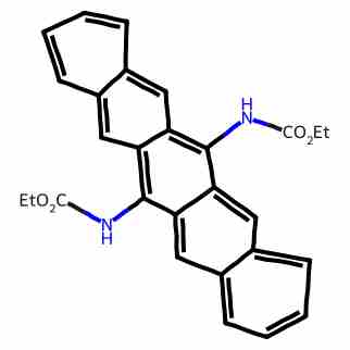 CCOC(=O)Nc1c2cc3ccccc3cc2c(NC(=O)OCC)c2cc3ccccc3cc12